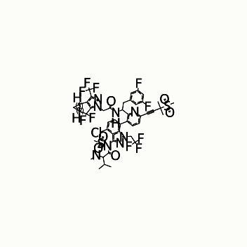 CC(C)C(C(=O)N(c1nn(CC(F)(F)F)c2c(-c3ccc(C#CC(C)(C)S(C)(=O)=O)nc3C(Cc3cc(F)cc(F)c3)NC(=O)Cn3nc(C(F)(F)F)c4c3C(F)(F)[C@@H]3C[C@H]43)ccc(Cl)c12)S(C)(=O)=O)N(C)C